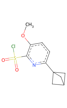 COc1ccc(C23CC(C2)C3)nc1S(=O)(=O)Cl